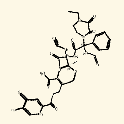 CCN1CCN([C@@](NC=O)(C(=O)N[C@]2(NC=O)C(=O)N3C(C(=O)O)=C(COC(=O)c4cc(=O)c(O)c[nH]4)CS[C@@H]32)c2ccccc2)C(=O)C1=O